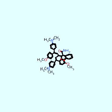 COc1ccc(C(=CC(C=C(c2ccc(OC)cc2)c2ccc(N(C)C)cc2)c2ccc3ccccc3c2C(N)=O)c2ccc(N(C)C)cc2)cc1